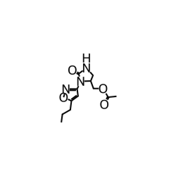 CCCc1cc(N2C(=O)NCC2COC(C)=O)no1